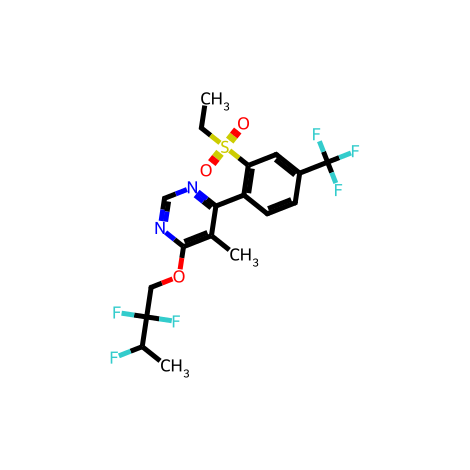 CCS(=O)(=O)c1cc(C(F)(F)F)ccc1-c1ncnc(OCC(F)(F)C(C)F)c1C